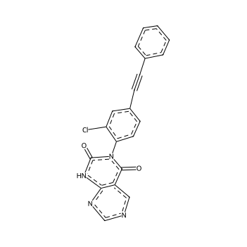 O=c1[nH]c2ncncc2c(=O)n1-c1ccc(C#Cc2ccccc2)cc1Cl